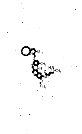 CCOc1cc2ncc(C#N)c(Nc3ccc(OCC4NC5(CCCCCCCCC5)CCC4C)cc3C)c2cc1NC(=O)/C=C/CN(C)C